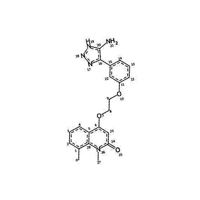 Cc1cccc2c(OCCOc3cccc(-c4nn[nH]c4N)c3)cc(=O)n(C)c12